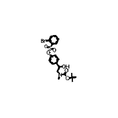 CN(CC(O)c1ccc(OS(=O)(=O)c2ccccc2Br)cc1)C(=O)OC(C)(C)C